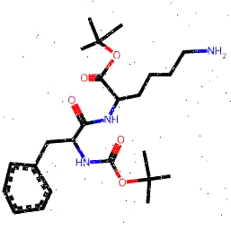 CC(C)(C)OC(=O)NC(Cc1ccccc1)C(=O)NC(CCCCN)C(=O)OC(C)(C)C